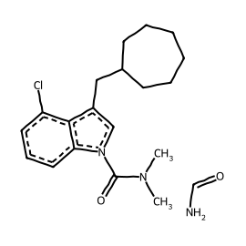 CN(C)C(=O)n1cc(CC2CCCCCC2)c2c(Cl)cccc21.NC=O